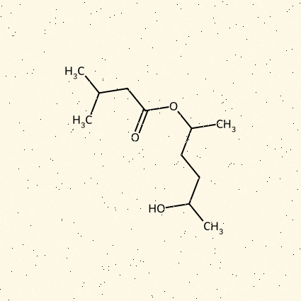 CC(C)CC(=O)OC(C)CCC(C)O